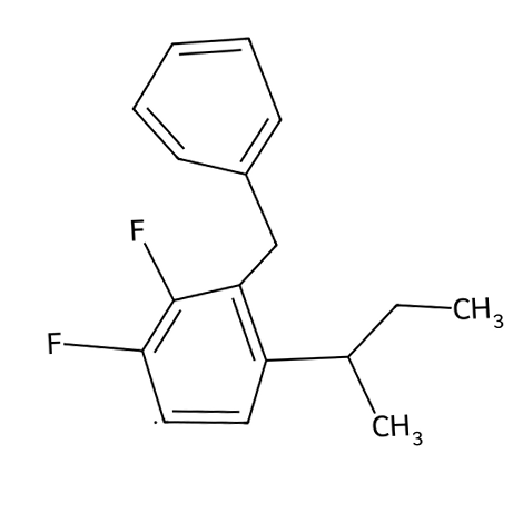 CCC(C)c1c[c]c(F)c(F)c1Cc1ccccc1